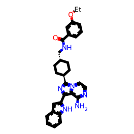 CCOc1cccc(C(=O)NC[C@H]2CC[C@H](c3nc(-c4cc5ccccc5[nH]4)c4c(N)nccn43)CC2)c1